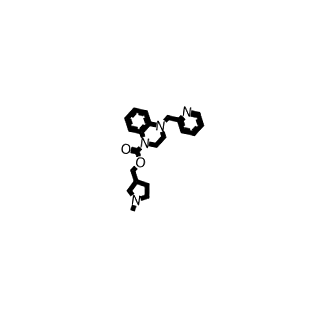 CN1CCC(COC(=O)N2CCN(Cc3ccccn3)c3ccccc32)C1